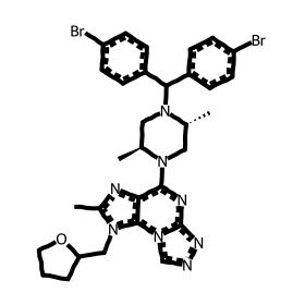 Cc1nc2c(N3C[C@@H](C)N(C(c4ccc(Br)cc4)c4ccc(Br)cc4)C[C@@H]3C)nc3nncn3c2n1CC1CCCO1